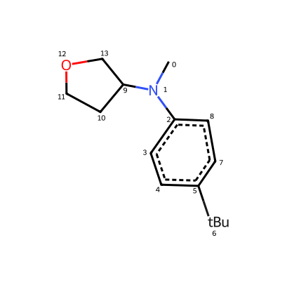 CN(c1ccc(C(C)(C)C)cc1)C1CCOC1